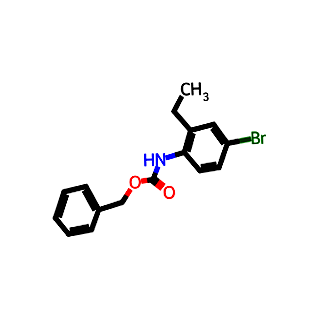 CCc1cc(Br)ccc1NC(=O)OCc1ccccc1